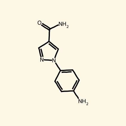 NC(=O)c1cnn(-c2ccc(N)cc2)c1